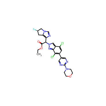 CCOC(=O)C(c1ncn2c1C[C@@H](F)C2)n1cc2c(Cl)cc(-c3cnc(N4CCOCC4)nc3)c(Cl)c2n1